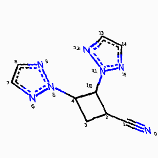 N#CC1CC(n2nccn2)C1n1nccn1